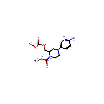 CC(C)(C)OC(=O)OCC1CN(c2ccc(N)nc2)CCN1C(=O)OC(C)(C)C